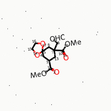 COC(=O)C1CC2(CC(CC=O)(C(=O)OC)C1)OCCO2